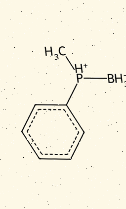 [BH3-][PH+](C)c1ccccc1